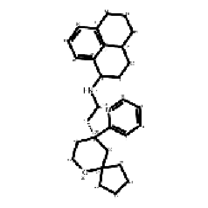 c1ccc([C@]2(CCNC3CCC4CCCc5cccc3c54)CCOC3(CCCC3)C2)nc1